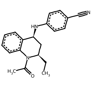 CC[C@@H]1C[C@H](Nc2ccc(C#N)cc2)c2ccccc2N1C(C)=O